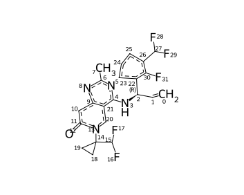 C=C[C@@H](Nc1nc(C)nc2cc(=O)n(C3(C(F)F)CC3)cc12)c1cccc(C(F)F)c1F